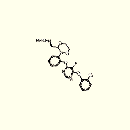 CO/N=C/C1OCCON1c1ccccc1Oc1ncnc(Oc2ccccc2Cl)c1F